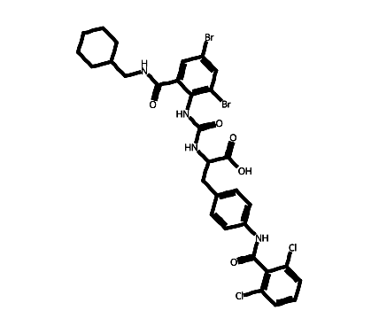 O=C(Nc1c(Br)cc(Br)cc1C(=O)NCC1CCCCC1)NC(Cc1ccc(NC(=O)c2c(Cl)cccc2Cl)cc1)C(=O)O